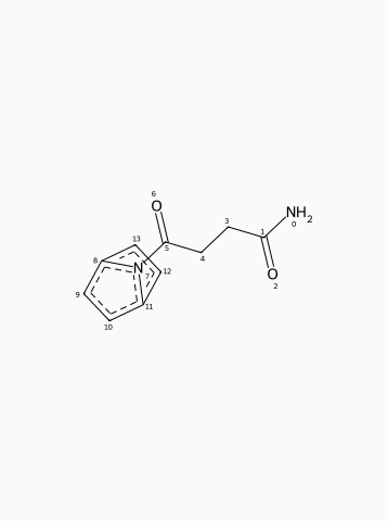 NC(=O)CCC(=O)n1c2ccc1cc2